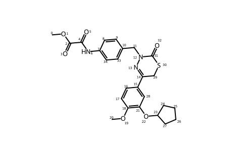 COC(=O)C(=O)Nc1ccc(CN2N=C(c3ccc(OC)c(OC4CCCC4)c3)CSC2=O)cc1